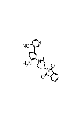 CC1CC(N2C(=O)c3ccccc3C2=O)CCN1c1cc(-c2cnccc2C#N)ccc1N